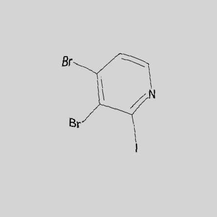 Brc1ccnc(I)c1Br